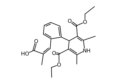 CCOC(=O)C1=C(C)NC(C)=C(C(=O)OCC)C1c1ccccc1C=C(C)C(=O)O